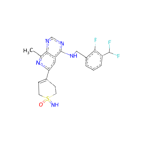 Cc1nc(C2=CCS(=N)(=O)CC2)cc2c(NCc3cccc(C(F)F)c3F)ncnc12